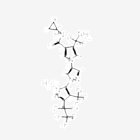 Cn1nc(C(F)(F)C(F)(F)F)c(C(F)(F)F)c1-n1cc(-n2cc(C(=O)NC3CC3)c(C(N)(F)F)c2)cn1